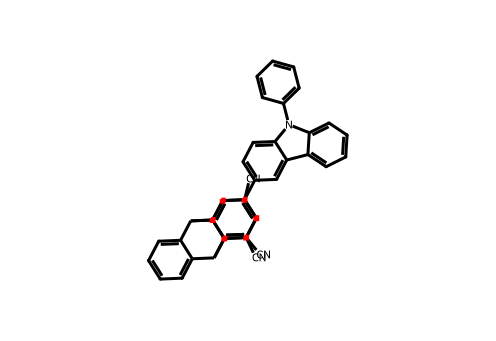 N#Cc1cc(C#N)c2c(c1)C1c3ccccc3C2c2c(C#N)cc(-c3ccc4c(c3)c3ccccc3n4-c3ccccc3)cc21